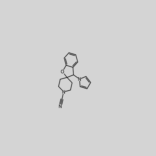 N#CN1CCC2(CC1)Oc1ccccc1C2n1cccc1